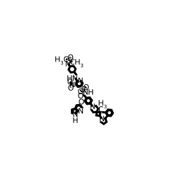 CCc1ccccc1C1CCCN1C1CC2(CCN(c3ccc(C(=O)NS(=O)(=O)c4cnc(NCC5CCC(N=S(C)(C)=O)CC5)c([N+](=O)[O-])c4)c(Oc4cnc5[nH]ccc5c4)c3)CC2)C1